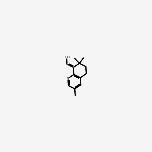 Cc1cnc2c(c1)CCC(C)(C)C2=NO